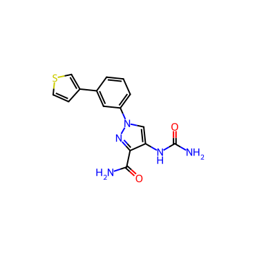 NC(=O)Nc1cn(-c2cccc(-c3ccsc3)c2)nc1C(N)=O